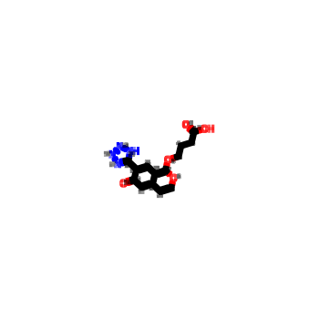 O=C(O)CCCOc1occc2cc(=O)c(-c3nnn[nH]3)cc1-2